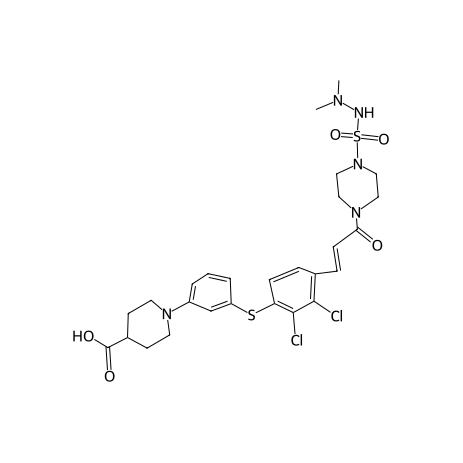 CN(C)NS(=O)(=O)N1CCN(C(=O)C=Cc2ccc(Sc3cccc(N4CCC(C(=O)O)CC4)c3)c(Cl)c2Cl)CC1